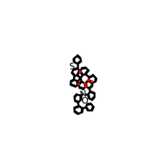 c1ccc(-c2ccccc2N(c2ccc3c(c2)-c2ccccc2-c2ccccc2C32c3ccccc3-c3cc4sc5ccccc5c4cc32)c2cccc3c2Oc2ccccc2-c2ccccc2-3)cc1